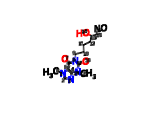 Cn1cnc2c1c(=O)n(CCCCC(O)CN=O)c(=O)n2C